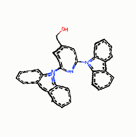 OCc1cc(-n2c3ccccc3c3ccccc32)nc(-n2c3ccccc3c3ccccc32)c1